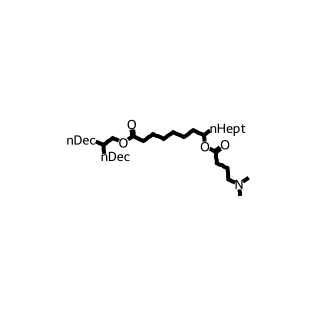 CCCCCCCCCCC(CCCCCCCCCC)COC(=O)CCCCCCC(CCCCCCC)OC(=O)CCCN(C)C